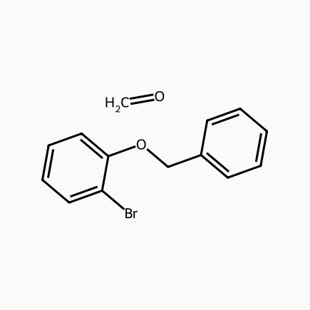 Brc1ccccc1OCc1ccccc1.C=O